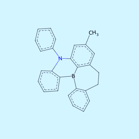 Cc1cc2c3c(c1)N(c1ccccc1)c1ccccc1B3c1ccccc1CC2